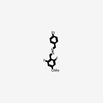 CCc1ccc(C=NN=Cc2c(F)cc(OC)cc2F)cc1